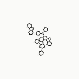 c1ccc(-c2cc(-c3cccc4oc5cc(N(c6ccccc6)c6ccc(-c7cccc8c7sc7ccccc78)cc6)c6ccccc6c5c34)nc(-c3ccccc3)n2)cc1